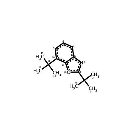 CC(C)(C)c1nc2cccc(C(C)(C)C)c2o1